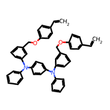 C=Cc1ccc(OCc2cccc(N(c3ccccc3)c3ccc(N(c4ccccc4)c4cccc(COc5ccc(C=C)cc5)c4)cc3)c2)cc1